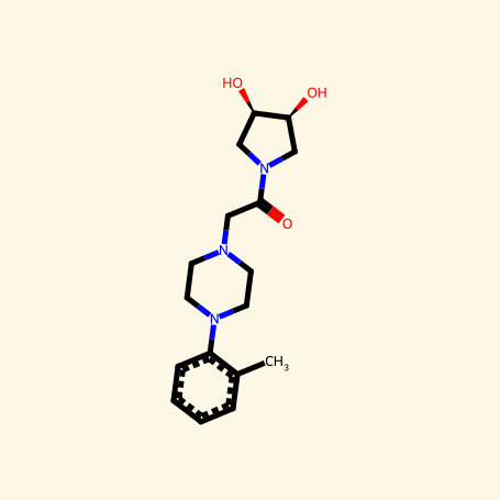 Cc1ccccc1N1CCN(CC(=O)N2C[C@@H](O)[C@@H](O)C2)CC1